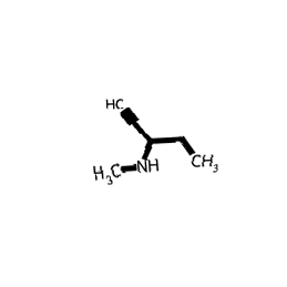 C#CC(CC)NC